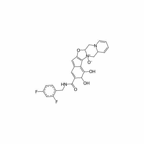 O=C(NCc1ccc(F)cc1F)C1=CC2=CC3=C(C2=C(O)C1O)[N+]1([O-])CC2C=CC=CN2CC1O3